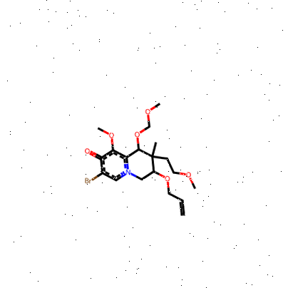 C=CCOC1Cn2cc(Br)c(=O)c(OC)c2C(OCOC)C1(C)CCOC